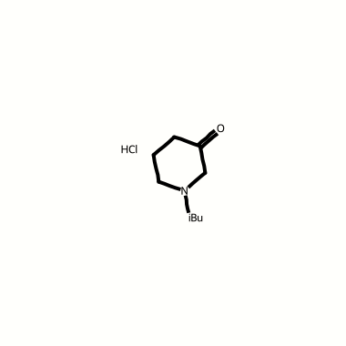 CCC(C)N1CCCC(=O)C1.Cl